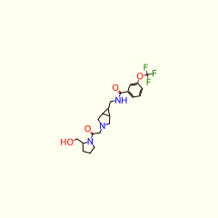 O=C(NCC1C2CN(CC(=O)N3CCCC3CO)CC12)c1cccc(OC(F)(F)F)c1